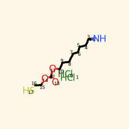 Cl.Cl.N=CCCCCCCCOC(=O)OCCS